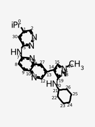 CC(C)c1cnnc(Nc2ccc3ncc(-c4cn(C)nc4NC4CCCCC4)cc3n2)c1